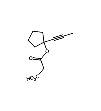 CC#CC1(OC(=O)CC(=O)O)CCCC1